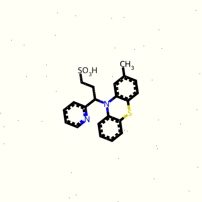 Cc1ccc2c(c1)N(C(CCS(=O)(=O)O)c1ccccn1)c1ccccc1S2